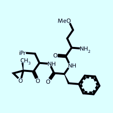 COCCC(N)C(=O)N[C@@H](Cc1ccccc1)C(=O)NC(CC(C)C)C(=O)[C@@]1(C)CO1